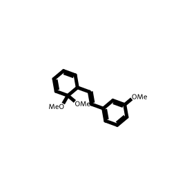 COc1cccc(C=CC2C=CC=CC2(OC)OC)c1